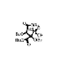 CC(C)COC(=O)C(OCC(C)C)C(OCC(C)C)(C(=O)OCC(C)C)P(=O)(O)O